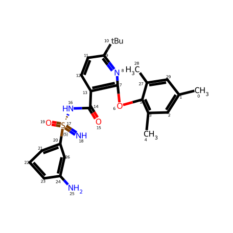 Cc1cc(C)c(Oc2nc(C(C)(C)C)ccc2C(=O)N[S@@](=N)(=O)c2cccc(N)c2)c(C)c1